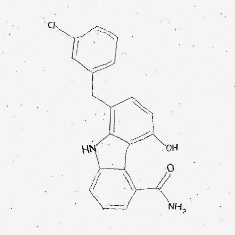 NC(=O)c1cccc2[nH]c3c(Cc4cccc(Cl)c4)ccc(O)c3c12